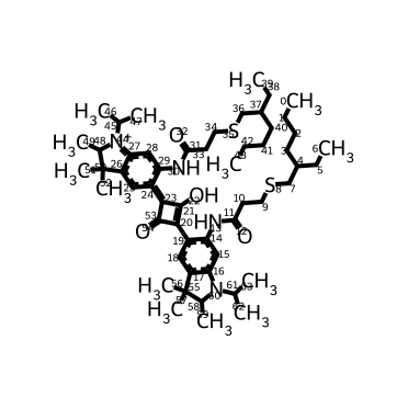 CCCCC(CC)CSCCC(=O)Nc1cc2c(cc1C1=C(O)/C(=c3/cc4c(cc3NC(=O)CCSCC(CC)CCCC)=[N+](C(C)C)C(C)C4(C)C)C1=O)C(C)(C)C(C)N2C(C)C